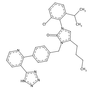 CCCCc1cn(-c2c(Cl)cccc2C(C)C)c(=O)n1Cc1ccc(-c2ncccc2-c2nnn[nH]2)cc1